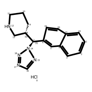 Cl.c1ccc2cc([C@H]([C@H]3CCCNC3)n3ncnn3)ccc2c1